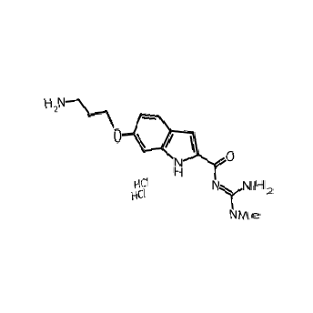 CNC(N)=NC(=O)c1cc2ccc(OCCCN)cc2[nH]1.Cl.Cl